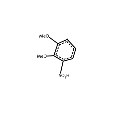 COc1[c]ccc(S(=O)(=O)O)c1OC